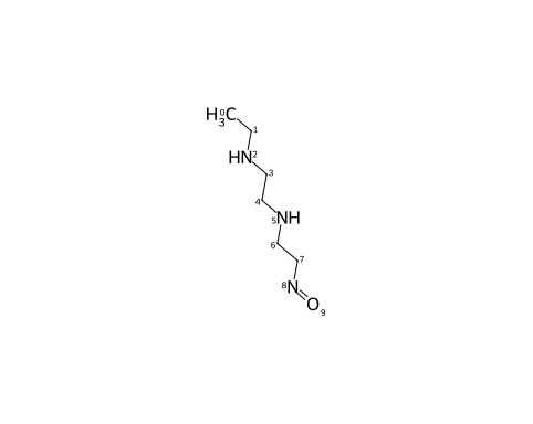 CCNCCNCCN=O